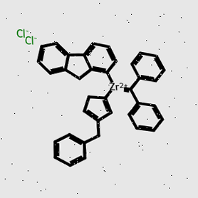 C1=C(Cc2ccccc2)C=[C]([Zr+2](=[C](c2ccccc2)c2ccccc2)[c]2cccc3c2Cc2ccccc2-3)C1.[Cl-].[Cl-]